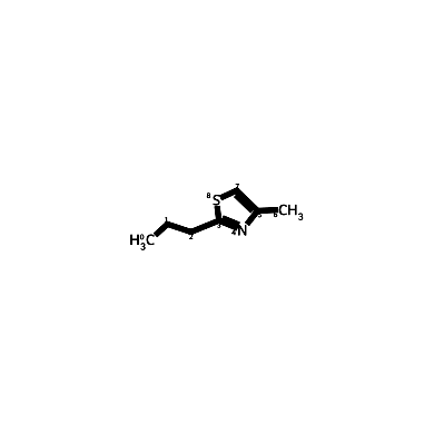 CCCc1nc(C)[c]s1